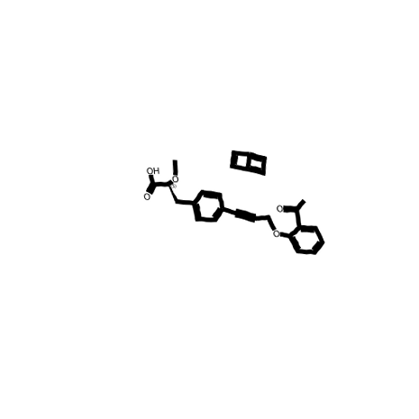 CO[C@@H](Cc1ccc(C#CCOc2ccccc2C(C)=O)cc1)C(=O)O.c1cc2ccc1-2